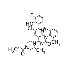 C=CC(=O)N1CCN(c2nc(=O)n(-c3c(C)cccc3C(C)C)c3nc(-c4cccc(F)c4O)c(Cl)cc23)[C@@H](C)C1